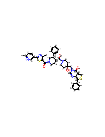 Cc1ccc(-c2nc(C)c(C(=O)N3CC[C@@H](C(=O)N4CCC(O)(Cn5cnc6c(-c7ccccc7)scc6c5=O)CC4)[C@H](c4ccccc4)C3)s2)cn1